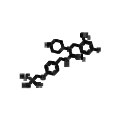 C=C(NCc1ccc(OCC(C)(O)C(C)C)cc1)N(Cc1ccc(F)cc1C)C1CCNCC1